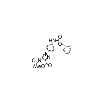 COC(=O)c1nn(-c2ccc(NC(=O)OCc3ccccc3)cc2)cc1[N+](=O)[O-]